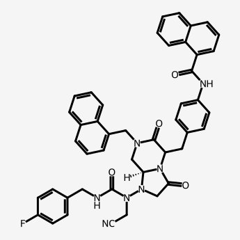 N#CCN(C(=O)NCc1ccc(F)cc1)N1CC(=O)N2C(Cc3ccc(NC(=O)c4cccc5ccccc45)cc3)C(=O)N(Cc3cccc4ccccc34)C[C@@H]21